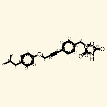 CC(C)Cc1ccc(OCC#Cc2ccc(Cn3oc(=O)[nH]c3=O)cc2)cc1